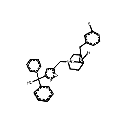 OC(c1ccccc1)(c1ccccc1)c1cc(C[N+]23CCC(CC2)[C@@H](Cc2cccc(F)c2)C3)on1